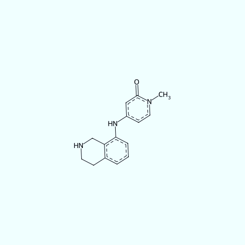 Cn1ccc(Nc2cccc3c2CNCC3)cc1=O